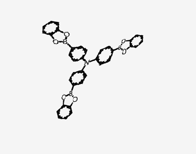 c1ccc2c(c1)OB(c1ccc(N(c3ccc(B4Oc5ccccc5O4)cc3)c3ccc(B4Oc5ccccc5O4)cc3)cc1)O2